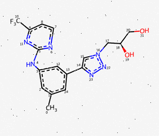 Cc1cc(Nc2nccc(C(F)(F)F)n2)cc(-c2cn(C[C@H](O)CO)nn2)c1